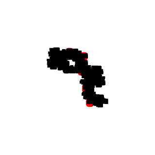 COc1ccc(C2(c3ccc(Oc4ccc(C(=O)c5ccc(Oc6ccc(C7(c8ccc(Oc9ccc(C(=O)c%10ccc(C)cc%10)cc9)c(C)c8)c8ccccc8-c8ccccc87)cc6C)cc5)cc4)cc3)c3ccccc3-c3ccccc32)cc1